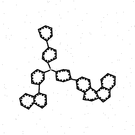 c1ccc(-c2ccc(N(c3ccc(-c4ccc5c(ccc6ccc7ccccc7c65)c4)cc3)c3cccc(-c4cccc5ccccc45)c3)cc2)cc1